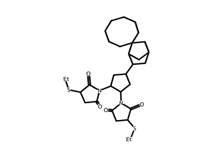 CCSC1CC(=O)N(C2CC(C3CC4CC3C3(CCCCCCC3)C4)CC2N2C(=O)CC(SCC)C2=O)C1=O